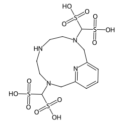 O=S(=O)(O)C(N1CCNCCN(C(S(=O)(=O)O)S(=O)(=O)O)Cc2cccc(n2)C1)S(=O)(=O)O